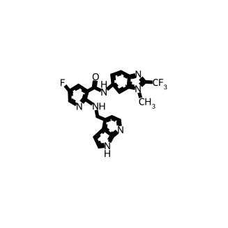 Cn1c(C(F)(F)F)nc2ccc(NC(=O)c3cc(F)cnc3NCc3ccnc4[nH]ccc34)cc21